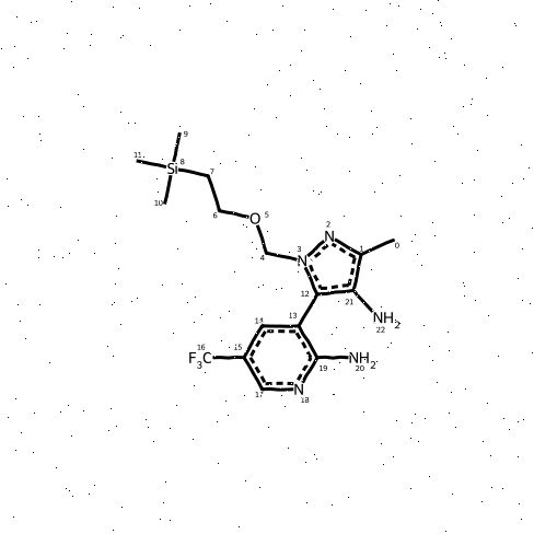 Cc1nn(COCC[Si](C)(C)C)c(-c2cc(C(F)(F)F)cnc2N)c1N